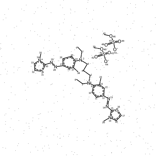 CCN(CCCN(CC)c1ccc(N=Nc2scc[n+]2C)cc1C)c1ccc(N=Nc2scc[n+]2C)cc1C.COS(=O)(=O)[O-].COS(=O)(=O)[O-]